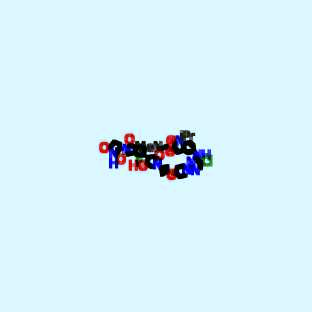 CNC(=O)COc1cc2cc(Nc3nc(N4CCC(O[C@H]5C[C@H](N6CC[C@H](c7ccc8c(c7F)CN(C7CCC(=O)NC7=O)C8=O)[C@@H](O)C6)C5)CC4)ncc3Cl)ccc2n(C(C)C)c1=O